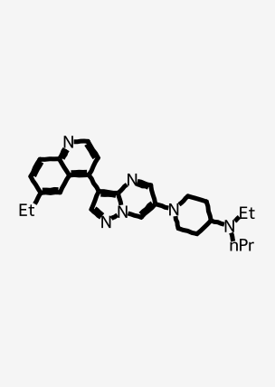 CCCN(CC)C1CCN(c2cnc3c(-c4ccnc5ccc(CC)cc45)cnn3c2)CC1